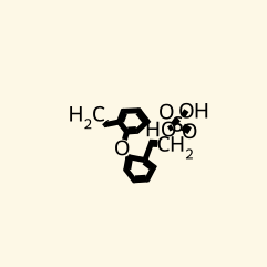 C=Cc1ccccc1Oc1ccccc1C=C.O=S(=O)(O)O